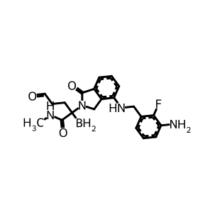 BC(CCC=O)(C(=O)NC)N1Cc2c(NCc3cccc(N)c3F)cccc2C1=O